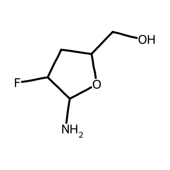 NC1OC(CO)CC1F